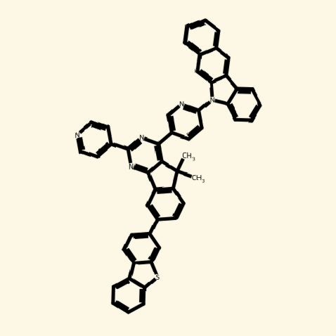 CC1(C)c2ccc(-c3ccc4c(c3)sc3ccccc34)cc2-c2nc(-c3ccncc3)nc(-c3ccc(-n4c5ccccc5c5cc6ccccc6cc54)nc3)c21